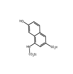 CCOC(=O)Nc1cc(S(=O)(=O)O)cc2ccc(O)cc12